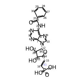 O=C(Nc1ncnc2c1ncn2[C@@H]1O[C@H](/C=C/P(=O)(O)O)[C@H](O)[C@H]1O)c1ccccc1